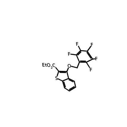 CCOC(=O)c1sc2ccccc2c1OCc1c(F)c(F)c(F)c(F)c1F